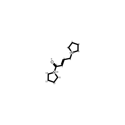 O=C(/C=C/CN1CCCC1)N1CCCC1